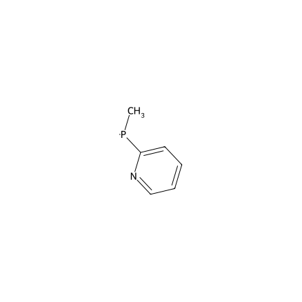 C[P]c1ccccn1